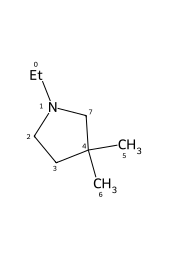 CCN1CCC(C)(C)C1